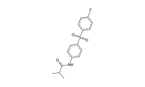 CC(C)C(=O)Nc1ccc(S(=O)(=O)c2ccc(F)cc2)cc1